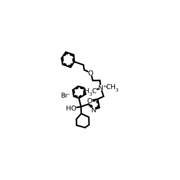 C[N+](C)(CCOCCc1ccccc1)Cc1cnc(C(O)(c2ccccc2)C2CCCCC2)o1.[Br-]